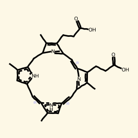 CC1=C(CCC(=O)O)/C2=C/C3=NC(Cc4[nH]c(cc4C)/C=c4\[nH]/c(cc4C)=C\C1=N2)C(C)=C3CCC(=O)O